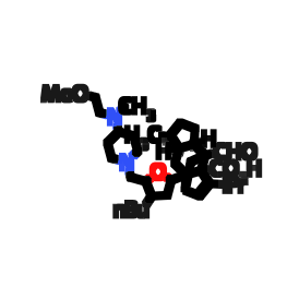 CCCCC1CC(C23C[C@@H]4[C@H](C)CC[C@H]4C4(C=O)CC2C=C(C(C)C)C34C(=O)O)OC1CN1CCC(N(C)CCOC)CC1